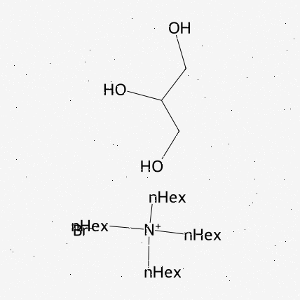 CCCCCC[N+](CCCCCC)(CCCCCC)CCCCCC.OCC(O)CO.[Br-]